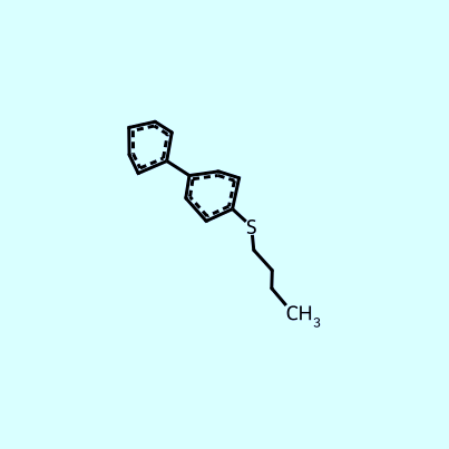 CCCCSc1ccc(-c2ccccc2)cc1